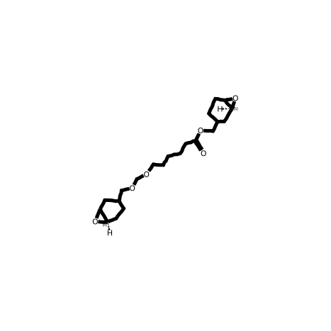 O=C(CCCCCOCOCC1CC[C@H]2OC2C1)OCC1CCC2O[C@H]2C1